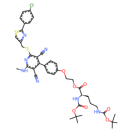 CNc1nc(SCc2csc(-c3ccc(Cl)cc3)n2)c(C#N)c(-c2ccc(OCCOC(=O)[C@@H](CCCNC(=O)OC(C)(C)C)NC(=O)OC(C)(C)C)cc2)c1C#N